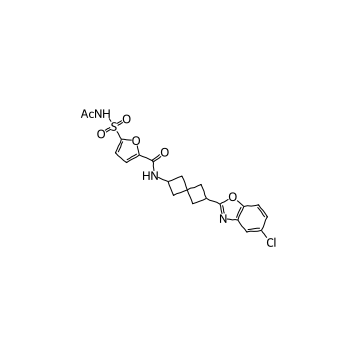 CC(=O)NS(=O)(=O)c1ccc(C(=O)NC2CC3(C2)CC(c2nc4cc(Cl)ccc4o2)C3)o1